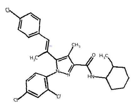 C/C(=C\c1ccc(Cl)cc1)c1c(C)c(C(=O)NC2CCCCC2C)nn1-c1ccc(Cl)cc1Cl